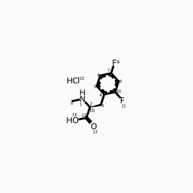 CN[C@@H](Cc1ccc(F)cc1F)C(=O)O.Cl